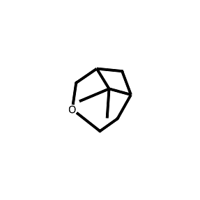 CC1(C)C2CCOCC1C2